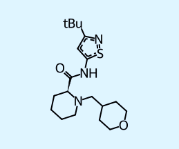 CC(C)(C)c1cc(NC(=O)[C@@H]2CCCCN2CC2CCOCC2)sn1